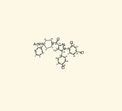 CC(=O)NC1(c2ccccc2)CCN(C(=O)c2nn(-c3ccc(Cl)cc3Cl)c(-c3ccc(Cl)cc3)c2C)CC1